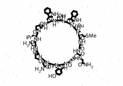 CCCC[C@H]1C(=O)N(C)[C@@H](CCSC)C(=O)N[C@@H](C)C(=O)NC(C(=O)NCC(N)=O)CSCC(=O)N[C@@H](Cc2ccc(O)cc2)C(=O)N(C)[C@@H](C)C(=O)N[C@@H](CC(N)=O)C(=O)N2CCC[C@H]2C(=O)N[C@@H](CN)C(=O)N[C@@H](CC(C)C)C(=O)N2CCC[C@H]2C(=O)N[C@@H](Cc2c[nH]c3ccccc23)C(=O)N[C@@H](CO)C(=O)N[C@@H](Cc2c[nH]c3ccccc23)C(=O)N1C